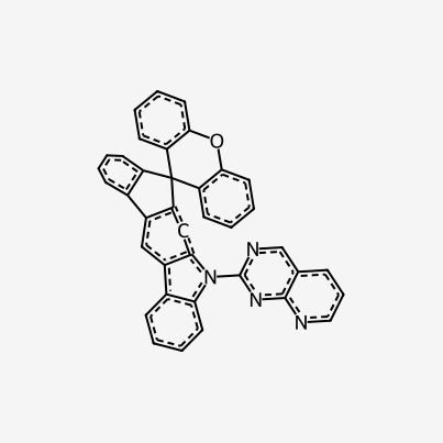 c1ccc2c(c1)Oc1ccccc1C21c2ccccc2-c2cc3c4ccccc4n(-c4ncc5cccnc5n4)c3cc21